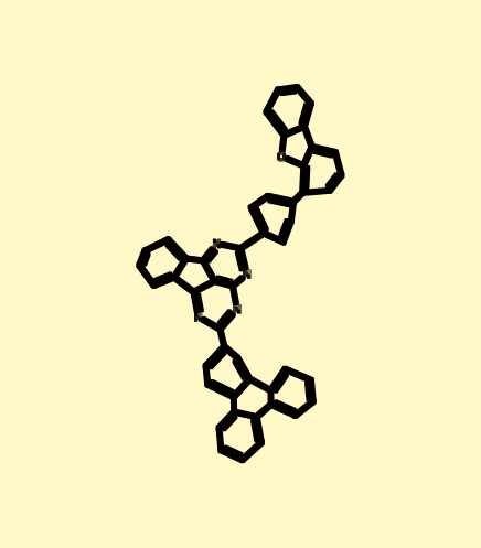 c1ccc2c(c1)-c1nc(-c3ccc(-c4cccc5c4oc4ccccc45)cc3)nc3nc(-c4ccc5c6ccccc6c6ccccc6c5c4)nc-2c13